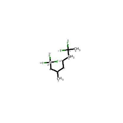 CC(CC[SiH2]C(C)(F)F)C[Si](F)(F)F